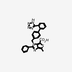 Cc1sc(C(=O)O)c2c1nc(-c1ccccc1)n2Cc1ccc(-c2ccccc2-c2nnn[nH]2)cc1